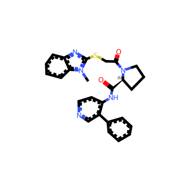 Cn1c(SCC(=O)N2CCC[C@H]2C(=O)Nc2ccncc2-c2ccccc2)nc2ccccc21